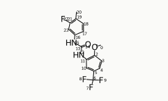 COc1ccc(C(F)(F)F)cc1NC(=O)Nc1ccc(C)c(F)c1